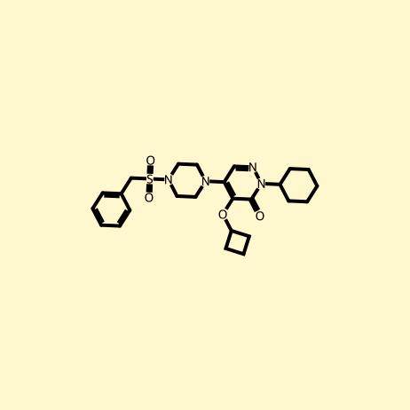 O=c1c(OC2CCC2)c(N2CCN(S(=O)(=O)Cc3ccccc3)CC2)cnn1C1CCCCC1